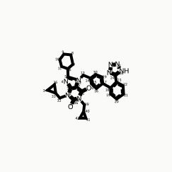 O=c1c2c(nc(C3CCCCC3)n2Cc2ccc(-c3ccccc3-c3nnn[nH]3)cc2)n(CC2CC2)c(=O)n1CC1CC1